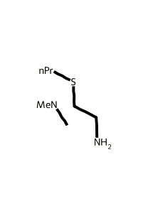 CCCSCCN.CNC